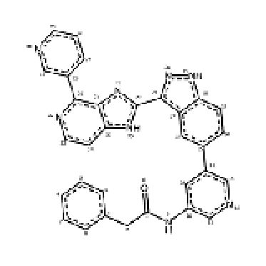 O=C(Cc1ccccc1)Nc1cncc(-c2ccc3[nH]nc(-c4nc5c(-c6cccnc6)nccc5[nH]4)c3c2)c1